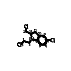 ClCCN1c2ccc(Cl)cc2CC1CCl